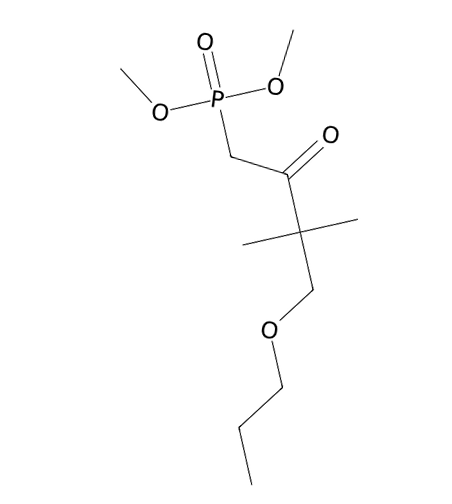 CCCOCC(C)(C)C(=O)CP(=O)(OC)OC